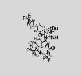 CC(C)(C)C[C@]1(C2C=CC(c3cnn(C(F)F)c3)=CC2)NC(=N)N([C@H](COC(=O)N2CC(F)(F)C2)c2ccc(Cl)c(-n3ncnc3C(F)F)c2)C1=O